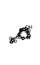 COc1cc2c3cc1Oc1c(OC)c(CO)cc4c1[C@@H](Cc1ccc(OCCCN5C(=O)c6ccccc6C5=O)c(c1)Oc1ccc(cc1)C[C@@H]3N(C)CC2)N(C)CC4